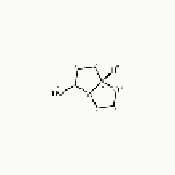 OC1CC[C@@H]2OCCC12